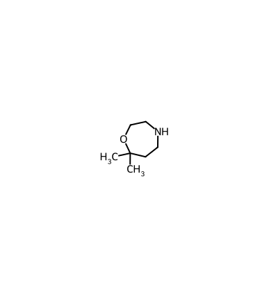 CC1(C)CCNCCO1